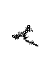 C=NOCCCNC(=O)CCCSSC(C)(C)CCC(=O)Nc1cc(COc2cc3c(cc2OC)C(=O)N2c4ccccc4C[C@H]2C=N3)cc(COc2cc3c(cc2OC)C(=O)N2c4ccccc4C[C@H]2CN3)c1